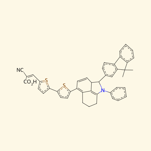 CC1(C)c2ccccc2-c2ccc(C3C4C=CC(c5ccc(-c6ccc(/C=C(/C#N)C(=O)O)s6)s5)=C5CCCC(=C54)N3c3ccccc3)cc21